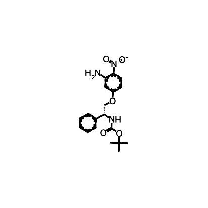 CC(C)(C)OC(=O)N[C@@H](COc1ccc([N+](=O)[O-])c(N)c1)c1ccccc1